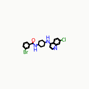 O=C(NC1CCC(Nc2ccnc3cc(Cl)ccc23)CC1)c1cccc(Br)c1